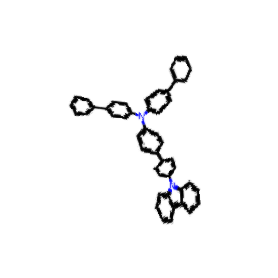 C1=CCCC(c2ccc(N(c3ccc(-c4ccccc4)cc3)c3ccc(-c4ccc(-n5c6ccccc6c6ccccc65)cc4)cc3)cc2)=C1